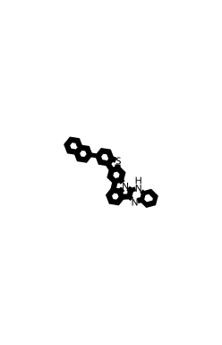 C1=CC2=Nc3c(n4c5cc6sc7ccc(-c8ccc9ccccc9c8)cc7c6cc5c5cccc3c54)NC2C=C1